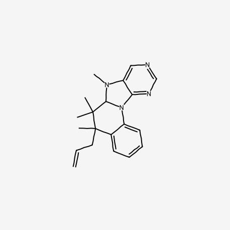 C=CCC1(C)c2ccccc2N2c3ncncc3N(C)C2C1(C)C